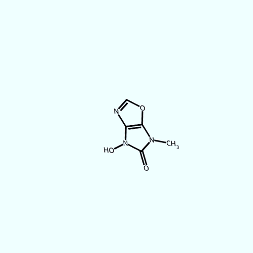 Cn1c(=O)n(O)c2ncoc21